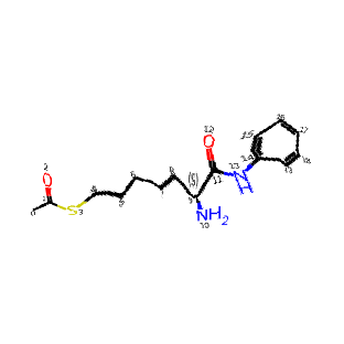 CC(=O)SCCCCC[C@H](N)C(=O)Nc1ccccc1